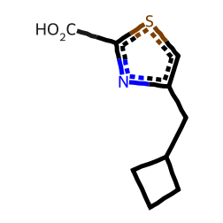 O=C(O)c1nc(CC2CCC2)cs1